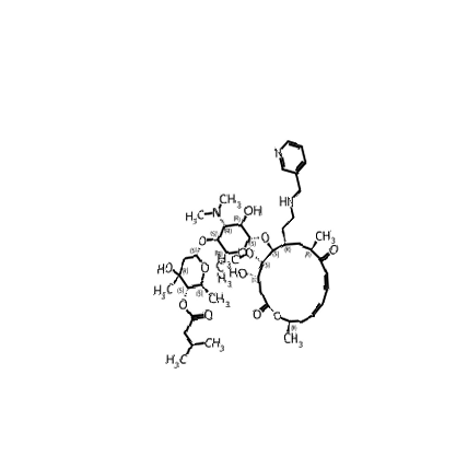 CO[C@@H]1[C@@H](O[C@@H]2O[C@H](C)[C@@H](O[C@H]3C[C@@](C)(O)[C@@H](OC(=O)CC(C)C)[C@H](C)O3)[C@H](N(C)C)[C@H]2O)[C@@H](CCNCc2cccnc2)C[C@@H](C)C(=O)C=CC=CC[C@@H](C)OC(=O)C[C@@H]1O